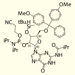 COc1ccc(C(OC[C@H]2O[C@@H](n3cnc4c(=O)[nH]c(NC(=O)C(C)C)nc43)[C@@H](OP(OCCC#N)N(C(C)C)C(C)C)C2O[SiH](C)C(C)(C)C)(c2ccccc2)c2ccc(OC)cc2)cc1